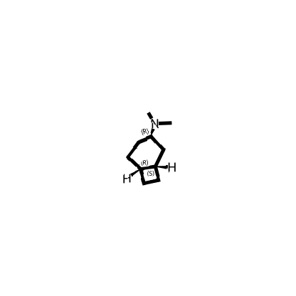 CN(C)[C@@H]1CC[C@H]2CC[C@H]2C1